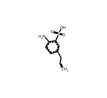 C=CCc1ccc(N)c(S(=O)(=O)O)c1